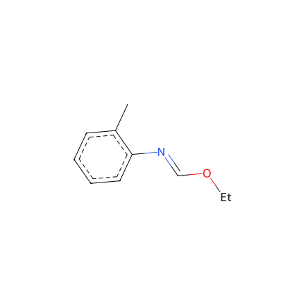 CCOC=Nc1ccccc1C